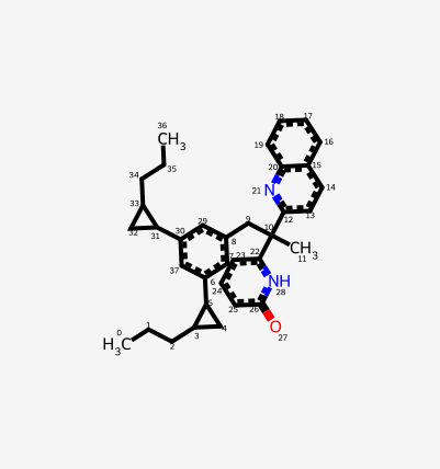 CCCC1CC1c1cc(CC(C)(c2ccc3ccccc3n2)c2cccc(=O)[nH]2)cc(C2CC2CCC)c1